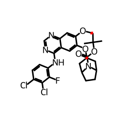 COc1cc2ncnc(Nc3ccc(Cl)c(Cl)c3F)c2cc1OC1CC2CCC(C1)N2C(=O)OC(C)(C)C